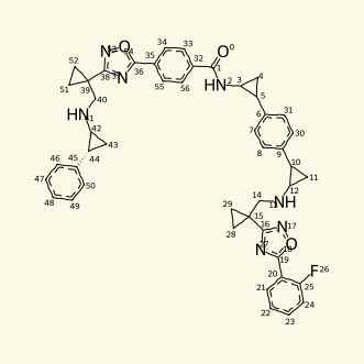 O=C(NC1CC1c1ccc(C2CC2NCC2(c3noc(-c4ccccc4F)n3)CC2)cc1)c1ccc(-c2nc(C3(CNC4C[C@@H]4c4ccccc4)CC3)no2)cc1